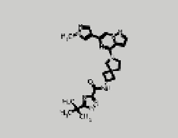 Cn1cc(-c2cn3nccc3c(N3CC[C@]4(C3)C[C@@H](NC(=O)c3noc(C(C)(C)C)n3)C4)n2)cn1